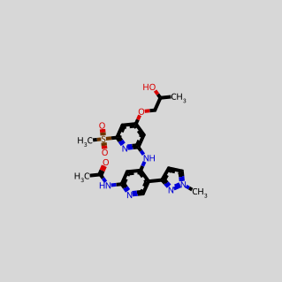 CC(=O)Nc1cc(Nc2cc(OCC(C)O)cc(S(C)(=O)=O)n2)c(-c2ccn(C)n2)cn1